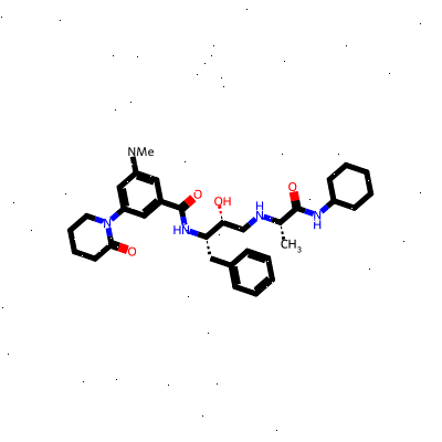 CNc1cc(C(=O)N[C@@H](Cc2ccccc2)[C@H](O)CN[C@@H](C)C(=O)NC2CCCCC2)cc(N2CCCCC2=O)c1